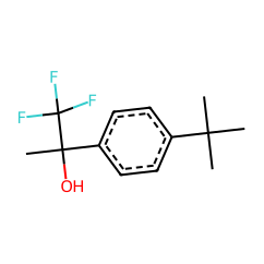 CC(C)(C)c1ccc(C(C)(O)C(F)(F)F)cc1